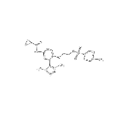 Cc1ccc(S(=O)(=O)OCCOc2ccc(NC(=O)C3CC3)cc2-c2c(C)noc2C)cc1